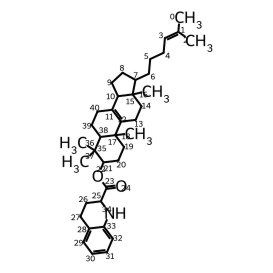 CC(C)=CCCCC1CCC2C3=C(CCC12C)C1(C)CCC(OC(=O)C2CCc4ccccc4N2)C(C)(C)C1CC3